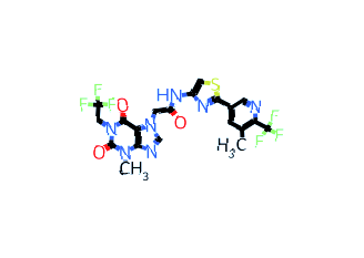 Cc1cc(-c2nc(NC(=O)Cn3cnc4c3c(=O)n(CC(F)(F)F)c(=O)n4C)cs2)cnc1C(F)(F)F